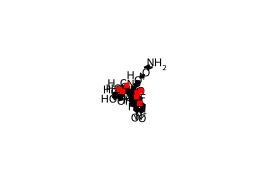 COC1=C(C)NC(COCCOCCN)=C(C(=O)OCc2ccc([N+](=O)[O-])cc2)C1(OC(C(=O)O)C(O)C(=O)O)c1c(F)c(F)c(F)c(F)c1F